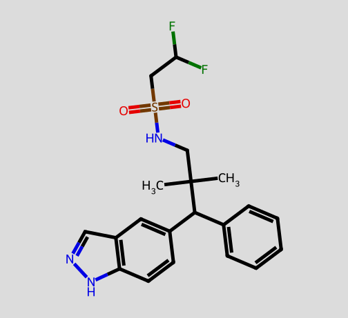 CC(C)(CNS(=O)(=O)CC(F)F)C(c1ccccc1)c1ccc2[nH]ncc2c1